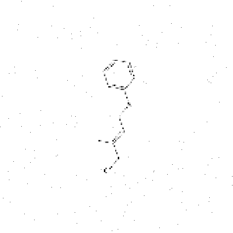 C/C(=C\CSc1ccccc1)CCl